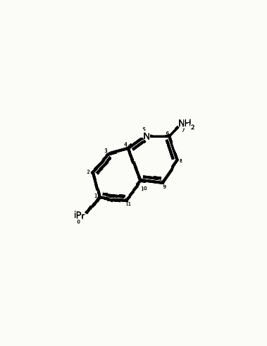 CC(C)c1ccc2nc(N)ccc2c1